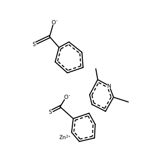 Cc1cccc(C)n1.[O-]C(=S)c1ccccc1.[O-]C(=S)c1ccccc1.[Zn+2]